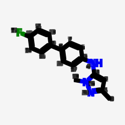 Cc1cc(Nc2ccc(-c3ccc(F)cc3)cc2)n(C)n1